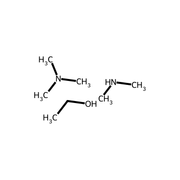 CCO.CN(C)C.CNC